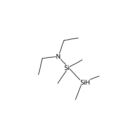 CCN(CC)[Si](C)(C)[SiH](C)C